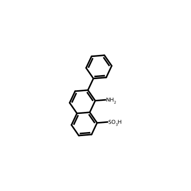 Nc1c(-c2ccccc2)ccc2cccc(S(=O)(=O)O)c12